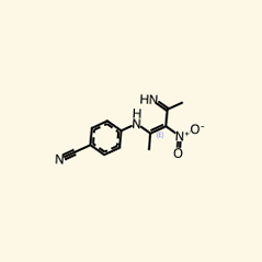 CC(=N)/C(=C(/C)Nc1ccc(C#N)cc1)[N+](=O)[O-]